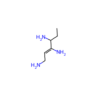 CCC(N)C(N)=CCN